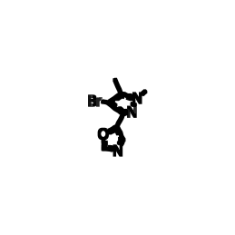 Cc1c(Br)c(-c2cnco2)nn1C